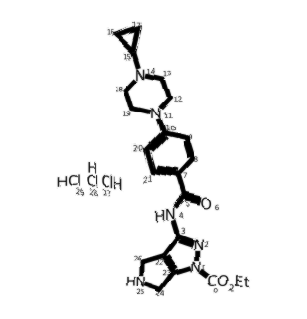 CCOC(=O)n1nc(NC(=O)c2ccc(N3CCN(C4CC4)CC3)cc2)c2c1CNC2.Cl.Cl.Cl